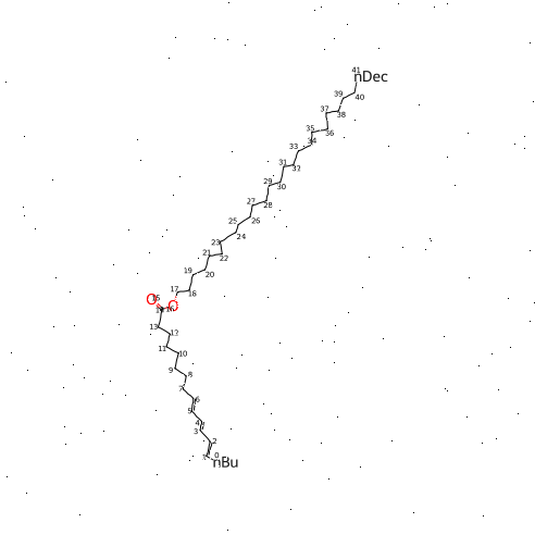 CCCCC=CC=CC=CCCCCCCCC(=O)OCCCCCCCCCCCCCCCCCCCCCCCCCCCCCCCCCC